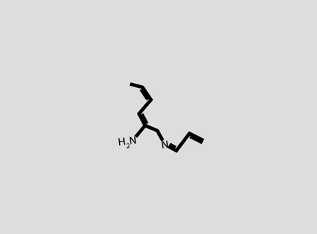 C=C/C=N\C/C(N)=C\C=C/C